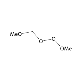 COCOOOC